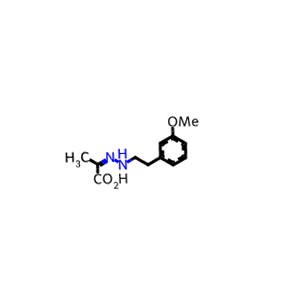 COc1cccc(CCN/N=C(/C)C(=O)O)c1